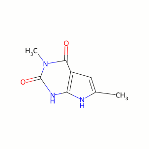 Cc1cc2c(=O)n(C)c(=O)[nH]c2[nH]1